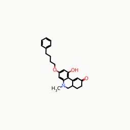 CN1CC2CCC(=O)C=C2c2c(O)cc(OCCCCc3ccccc3)cc21